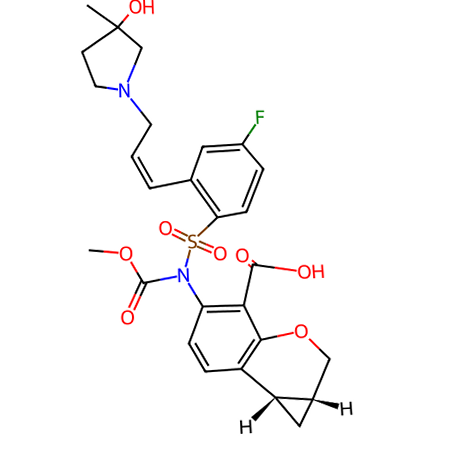 COC(=O)N(c1ccc2c(c1C(=O)O)OC[C@@H]1C[C@H]21)S(=O)(=O)c1ccc(F)cc1/C=C\CN1CCC(C)(O)C1